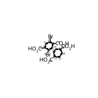 O=C(O)c1cc(Br)c(C(=O)O)cc1Br.O=C(O)c1ccc(C(=O)O)cc1